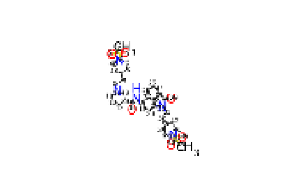 CS(=O)(=O)N1CCC(CCN2CCCC(C(=O)Nc3ccc4c5c(cccc35)C(=O)N4CCC3CCN(S(C)(=O)=O)CC3)C2)CC1